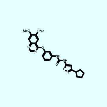 COc1cc2ncnc(Oc3cccc(NC(=O)Nc4cc(C5CCCC5)no4)c3)c2cc1OC